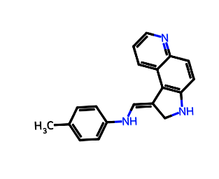 Cc1ccc(N/C=C2\CNc3ccc4ncccc4c32)cc1